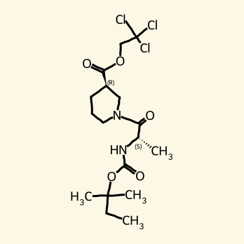 CCC(C)(C)OC(=O)N[C@@H](C)C(=O)N1CCC[C@@H](C(=O)OCC(Cl)(Cl)Cl)C1